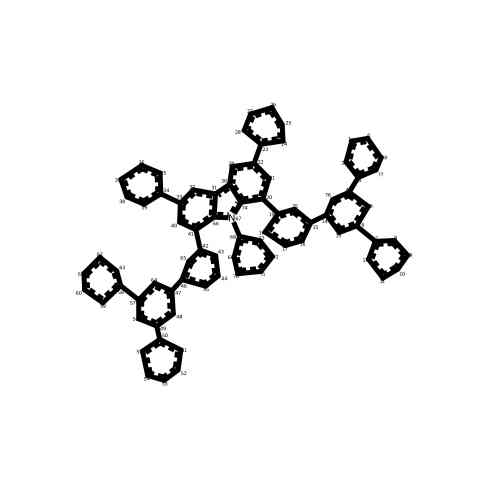 c1ccc(-c2cc(-c3ccccc3)cc(-c3cccc(-c4cc(-c5ccccc5)cc5c6cc(-c7ccccc7)cc(-c7cccc(-c8cc(-c9ccccc9)cc(-c9ccccc9)c8)c7)c6n(-c6ccccc6)c45)c3)c2)cc1